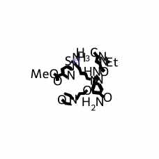 [H]/N=c1/sc2cc(C(=O)OC)cnc2n1CC=CCn1c(NC(=O)c2cc(C)nn2CC)nc2cc(C(N)=O)cc(OCCCN3CCOCC3)c21